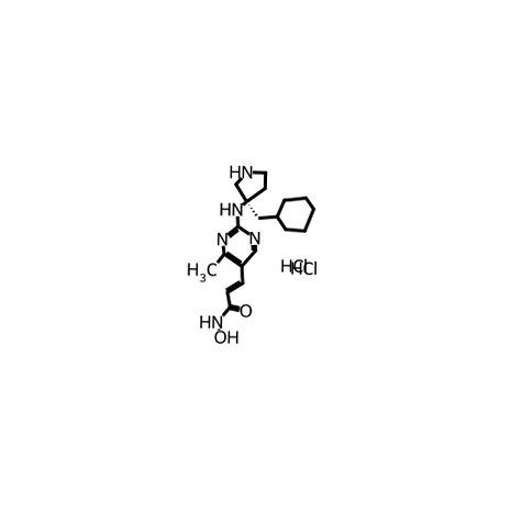 Cc1nc(N[C@]2(CC3CCCCC3)CCNC2)ncc1/C=C/C(=O)NO.Cl.Cl